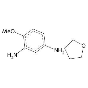 C1CCOC1.COc1ccc(N)cc1N